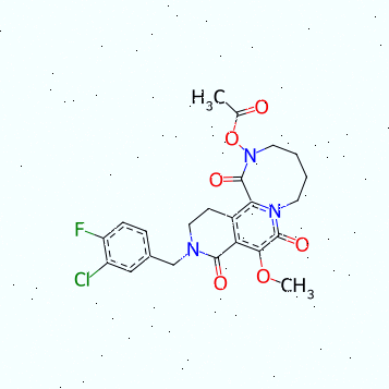 COc1c2c(c3n(c1=O)CCCCN(OC(C)=O)C3=O)CCN(Cc1ccc(F)c(Cl)c1)C2=O